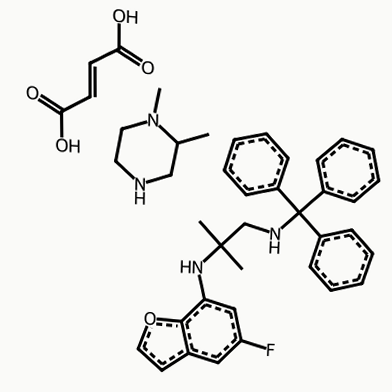 CC(C)(CNC(c1ccccc1)(c1ccccc1)c1ccccc1)Nc1cc(F)cc2ccoc12.CC1CNCCN1C.O=C(O)C=CC(=O)O